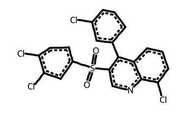 O=S(=O)(c1ccc(Cl)c(Cl)c1)c1cnc2c(Cl)cccc2c1-c1cccc(Cl)c1